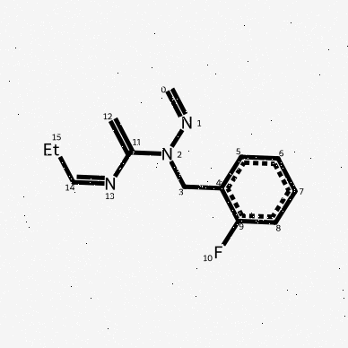 C=NN(Cc1ccccc1F)C(=C)/N=C\CC